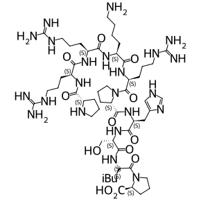 CC[C@H](C)[C@H](NC(=O)[C@H](CO)NC(=O)[C@H](Cc1c[nH]cn1)NC(=O)[C@@H]1CCCN1C(=O)[C@H](CCCNC(=N)N)NC(=O)[C@H](CCCCN)NC(=O)[C@H](CCCNC(=N)N)NC(=O)[C@H](CCCNC(=N)N)NC(=O)[C@@H]1CCCN1)C(=O)N1CCC[C@H]1C(=O)O